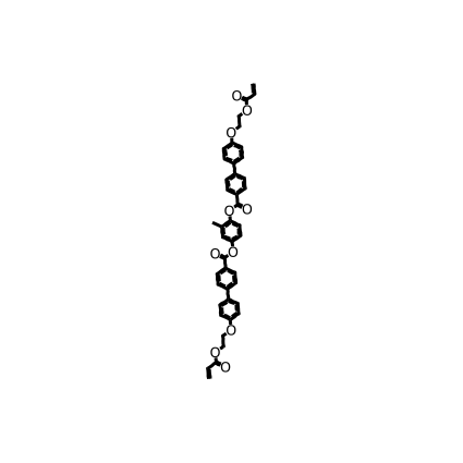 C=CC(=O)OCCOc1ccc(-c2ccc(C(=O)Oc3ccc(OC(=O)c4ccc(-c5ccc(OCCOC(=O)C=C)cc5)cc4)c(C)c3)cc2)cc1